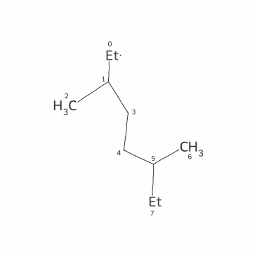 C[CH]C(C)CCC(C)CC